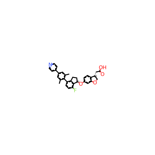 Cc1cc(-c2ccncc2)cc(C)c1-c1ccc(F)c2c1CC[C@H]2Oc1ccc2c(c1)OC[C@H]2CC(=O)O